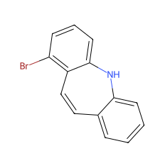 Brc1cccc2c1C=Cc1ccccc1N2